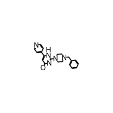 O=c1cc(-c2ccncc2)[nH]c(N2CCN(Cc3ccccc3)CC2)n1